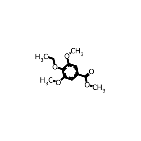 CCOc1c(OC)cc(C(=O)OC)cc1OC